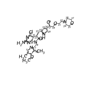 COc1c(C)cnc(CN2C(=O)/C(=C\c3cc(C(=O)COCCN4CCOCC4)c[nH]3)c3c(Cl)nc(N)nc32)c1C